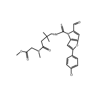 COC(=O)CN(C)C(=O)CC(C)(C)CNC(=S)n1c(C=O)cc2oc(-c3ccc(Cl)cc3)cc21